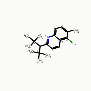 Cc1ccc2nc(C(C(C)(C)C)C(C)(C)C)ccc2c1F